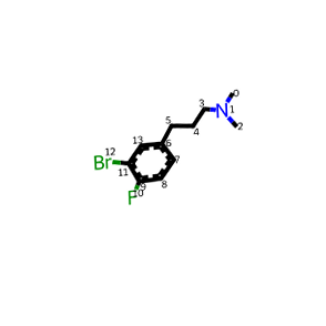 CN(C)CCCc1ccc(F)c(Br)c1